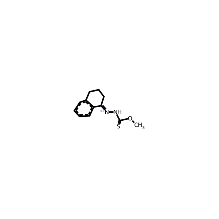 COC(=S)N/N=C1\CCCc2ccccc21